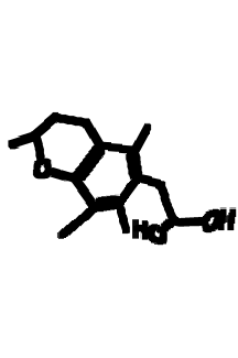 Cc1c(C)c2c(c(C)c1CC(O)O)CCC(C)O2